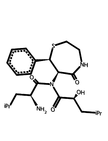 CC(C)C[C@H](N)C(=O)N(C(=O)[C@@H](O)CC(C)C)[C@@H]1C(=O)NCCS[C@@H]1c1ccccc1